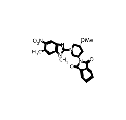 CO[C@@H]1C[C@@H](N2C(=O)c3ccccc3C2=O)CN(c2nc3cc([N+](=O)[O-])c(C)cc3n2C)C1